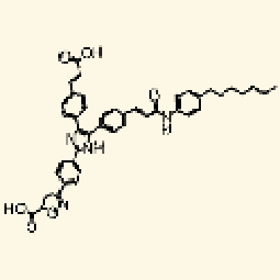 CCCCCCCc1ccc(NC(=O)C=Cc2ccc(-c3[nH]c(-c4ccc(C5=NOC(C(=O)O)C5)cc4)nc3-c3ccc(C=CC(=O)O)cc3)cc2)cc1